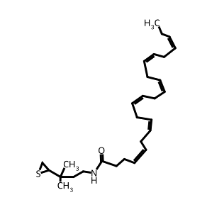 CC/C=C\C/C=C\C/C=C\C/C=C\C/C=C\C/C=C\CCC(=O)NCCC(C)(C)C1CS1